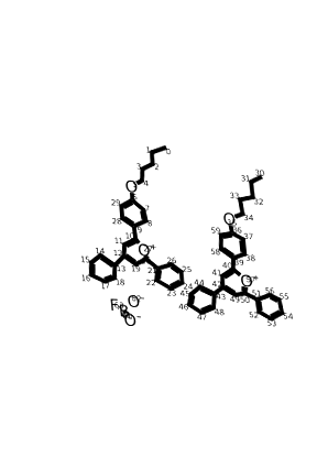 CCCCCOc1ccc(-c2cc(-c3ccccc3)cc(-c3ccccc3)[o+]2)cc1.CCCCCOc1ccc(-c2cc(-c3ccccc3)cc(-c3ccccc3)[o+]2)cc1.[O-]B([O-])F